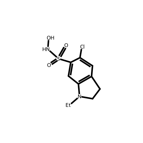 CCN1CCc2cc(Cl)c(S(=O)(=O)NO)cc21